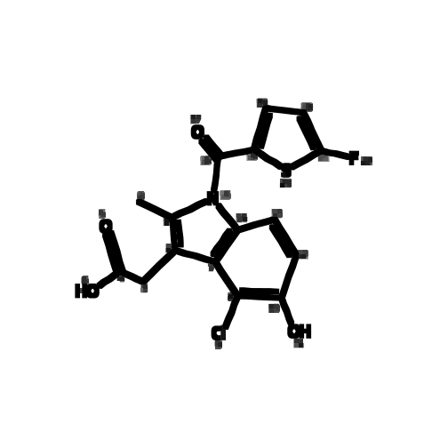 Cc1c(CC(=O)O)c2c(Cl)c(O)ccc2n1C(=O)c1ccc(F)s1